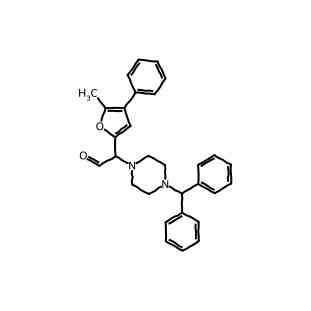 Cc1oc(C(C=O)N2CCN(C(c3ccccc3)c3ccccc3)CC2)cc1-c1ccccc1